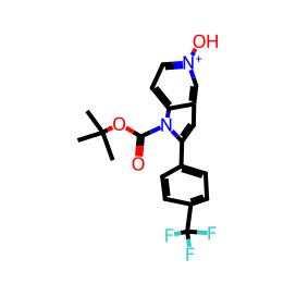 CC(C)(C)OC(=O)n1c(-c2ccc(C(F)(F)F)cc2)cc2c[n+](O)ccc21